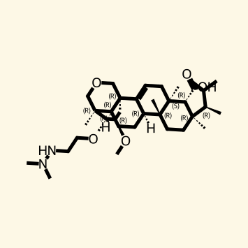 CO[C@@H]1C[C@@]23COC[C@@](C)([C@@H]2CC[C@H]2C3=CC[C@@]3(C)[C@H](C(=O)O)[C@@](C)([C@H](C)C(C)C)CC[C@]23C)[C@H]1OCCNN(C)C